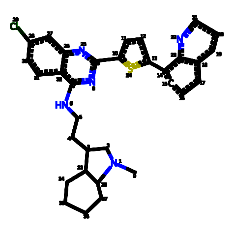 CN1CC(CCNc2nc(-c3ccc(-c4cccc5cccnc45)s3)nc3cc(Cl)ccc23)C2CCCCC21